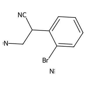 [N].[N]CC(C#N)c1ccccc1Br